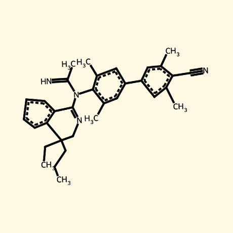 CCCC1(CC)CN=C(N(C(C)=N)c2c(C)cc(-c3cc(C)c(C#N)c(C)c3)cc2C)c2ccccc21